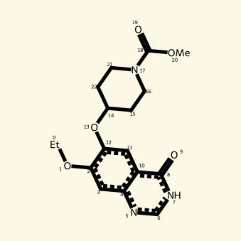 CCOc1cc2nc[nH]c(=O)c2cc1OC1CCN(C(=O)OC)CC1